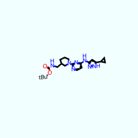 CC(C)(C)OC(=O)NCC1CCCN(c2nccc(Nc3cc(C4CC4)[nH]n3)n2)C1